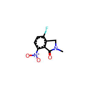 CN1Cc2c(F)ccc([N+](=O)[O-])c2C1=O